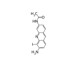 CC(=O)Nc1ccc2cc3ccc(N)c(I)c3nc2c1